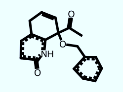 CC(=O)C1(OCc2ccccc2)C=CCc2ccc(=O)[nH]c21